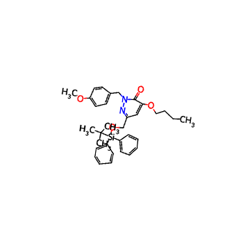 CCCCOc1cc(CO[Si](c2ccccc2)(c2ccccc2)C(C)(C)C)nn(Cc2ccc(OC)cc2)c1=O